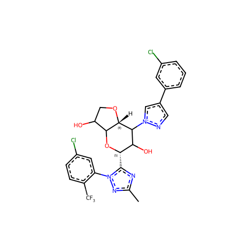 Cc1nc([C@@H]2OC3C(O)CO[C@@H]3C(n3cc(-c4cccc(Cl)c4)cn3)C2O)n(-c2cc(Cl)ccc2C(F)(F)F)n1